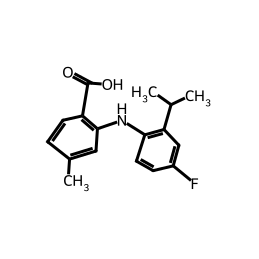 Cc1ccc(C(=O)O)c(Nc2ccc(F)cc2C(C)C)c1